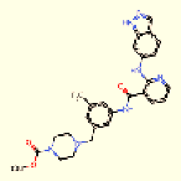 CC(C)(C)OC(=O)N1CCN(Cc2cc(NC(=O)c3cccnc3Nc3ccc4cn[nH]c4c3)cc(C(F)(F)F)c2)CC1